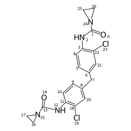 O=C(Nc1ccc(Cc2ccc(NC(=O)N3CC3)c(Cl)c2)cc1Cl)N1CC1